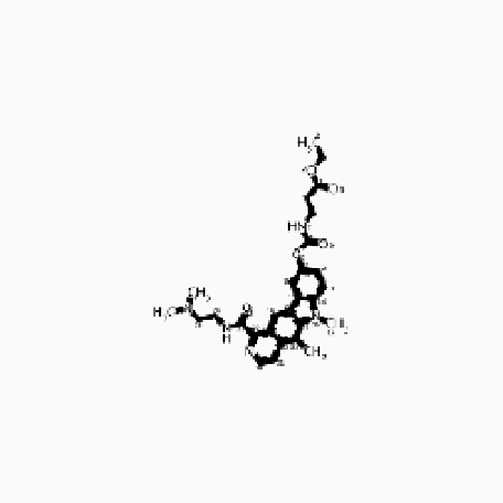 CCOC(=O)CCNC(=O)Oc1ccc2c(c1)c1cc3c(C(=O)NCCN(C)C)nccc3c(C)c1n2C